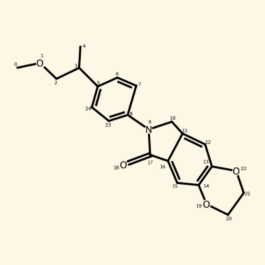 COCC(C)c1ccc(N2Cc3cc4c(cc3C2=O)OCCO4)cc1